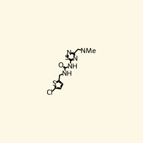 CNCc1nsc(NC(=O)NCc2ccc(Cl)s2)n1